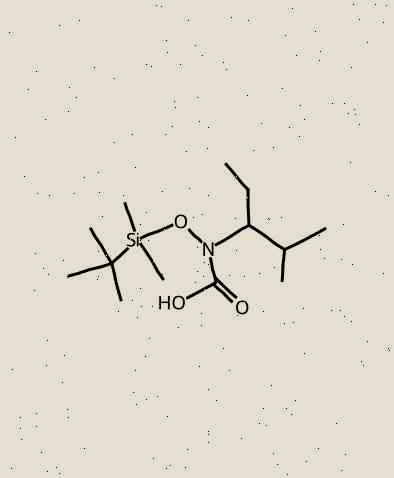 CCC(C(C)C)N(O[Si](C)(C)C(C)(C)C)C(=O)O